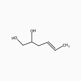 CC=CCC(O)CO